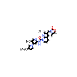 COC1CCN(c2cc(NC(=O)N3CCCc4cc(CN5C(=O)OCC5C)c(C=O)nc43)ncc2C#N)C1